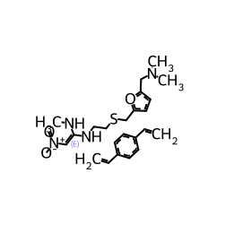 C=Cc1ccc(C=C)cc1.CN/C(=C\[N+](=O)[O-])NCCSCc1ccc(CN(C)C)o1